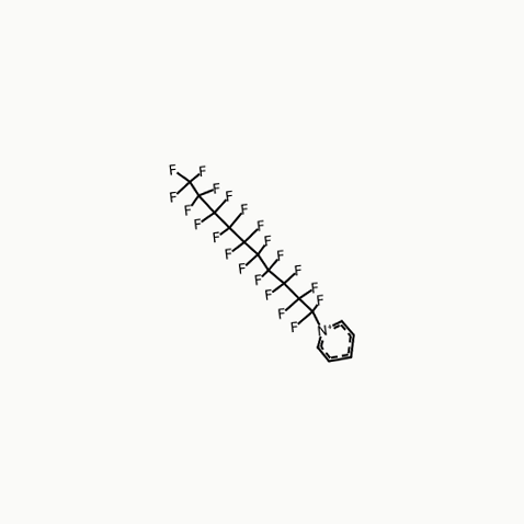 FC(F)(F)C(F)(F)C(F)(F)C(F)(F)C(F)(F)C(F)(F)C(F)(F)C(F)(F)C(F)(F)C(F)(F)[n+]1ccccc1